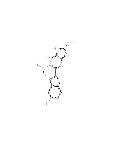 CC(C)N(C)c1nc2[nH]c(C(=O)O)nc2nc1-c1cc2cc(F)ccc2o1